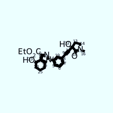 CCOC(=O)c1nn(-c2cccc(C#C[C@]3(O)CCN(C)C3=O)c2)c2c1C(O)CCC2